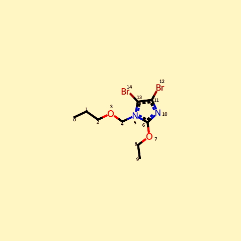 CCCOCn1c(OCC)nc(Br)c1Br